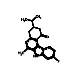 Cc1nc2c(c3c1[nH]c1cc(F)ccc13)C(=O)CC(C(C)C)C2